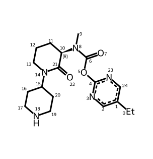 CCc1cnc(OC(=O)N(C)[C@@H]2CCCN(C3CCNCC3)C2=O)nc1